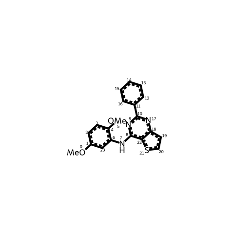 COc1ccc(OC)c(Nc2nc(-c3ccccc3)nc3ccsc23)c1